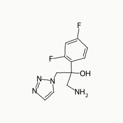 NCC(O)(Cn1ccnn1)c1ccc(F)cc1F